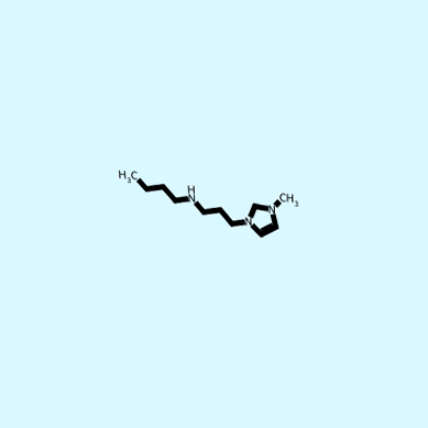 CCCCNCCCN1C=CN(C)C1